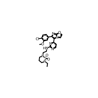 CCN1CCCN(CCNc2nccc(-c3c(-c4ccc(Cl)c(OC)c4)nc4occn34)n2)S1(=O)=O